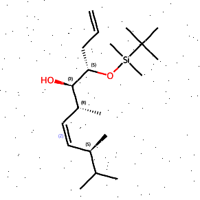 C=CC[C@H](O[Si](C)(C)C(C)(C)C)[C@H](O)[C@H](C)/C=C\[C@@H](C)C(C)C